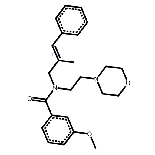 COc1cccc(C(=O)N(CCN2CCOCC2)C/C(C)=C/c2ccccc2)c1